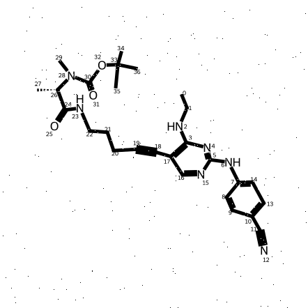 CCNc1nc(Nc2ccc(C#N)cc2)ncc1C#CCCCNC(=O)[C@H](C)N(C)C(=O)OC(C)(C)C